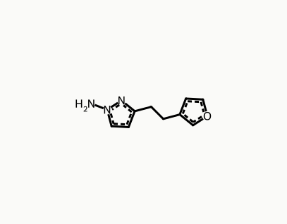 Nn1ccc(CCc2ccoc2)n1